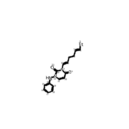 CCC=CCCC=Cn1c(=O)ccn(Nc2ccccc2)c1=O